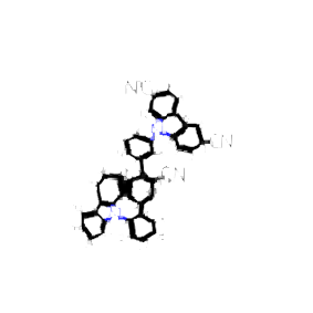 N#Cc1ccc2c(c1)c1ccc(C#N)cc1n2-c1cccc(-c2ccc(-c3ccccc3-n3c4c(c5ccccc53)CCC=C4)cc2C#N)c1